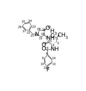 CC(C)C[C@H](NC(=O)c1ccc(F)cc1)C(=O)NC1CN(Cc2ccccc2)CC1=O